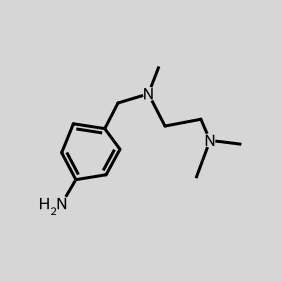 CN(C)CCN(C)Cc1ccc(N)cc1